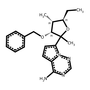 CC[C@H]1OC(C)(c2ccc3c(N)ncnn23)[C@H](OCc2ccccc2)[C@@H]1C